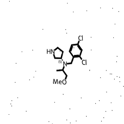 COCC(C)N(Cc1ccc(Cl)cc1Cl)[C@H]1CCNC1